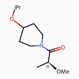 CO[C@@H](C)C(=O)N1CCC(OC(C)C)CC1